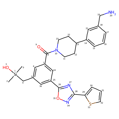 C[Si](C)(O)Cc1cc(C(=O)N2CCC(c3cccc(CN)c3)CC2)cc(-c2nc(-c3cccs3)no2)c1